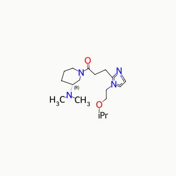 CC(C)OCCn1ccnc1CCC(=O)N1CCC[C@@H](N(C)C)C1